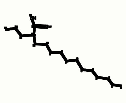 CCCCCCCCCCCC[C](CCC)C(=O)O